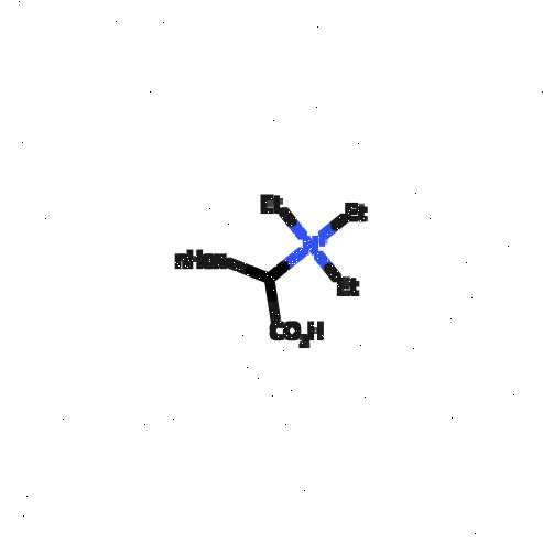 CCCCCCC(C(=O)O)[N+](CC)(CC)CC